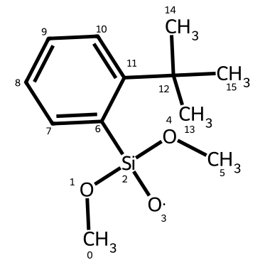 CO[Si]([O])(OC)c1ccccc1C(C)(C)C